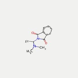 CCC(N(C)C)N1C(=O)c2ccccc2C1=O